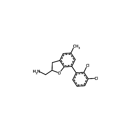 Cc1cc2c(c(-c3cccc(Cl)c3Cl)c1)OC(CN)C2